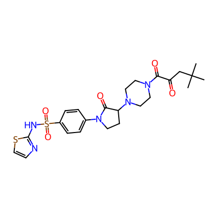 CC(C)(C)CC(=O)C(=O)N1CCN(C2CCN(c3ccc(S(=O)(=O)Nc4nccs4)cc3)C2=O)CC1